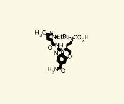 CCn1nc(C)cc1C(=O)Nc1nc2cc(C(N)=O)cc3c2n1[C@@H](CCN(C(=O)O)C(C)(C)C)CO3